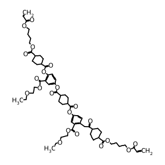 C=CC(=O)OCCCCOC(=O)C1CCC(C(=O)Cc2ccc(OC(=O)C3CCC(C(=O)Oc4ccc(OC(=O)C5CCC(C(=O)OCCCCOC(=O)C=C)CC5)c(C(=O)OCCOCC)c4)CC3)cc2C(=O)OCCOCC)CC1